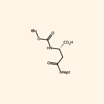 CCCCCCCC(=O)C[C@H](NC(=O)OC(C)(C)C)C(=O)O